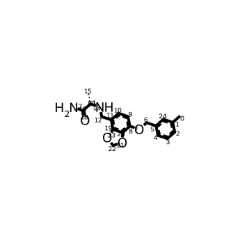 Cc1cccc(COc2ccc(CN[C@@H](C)C(N)=O)c3c2OCO3)c1